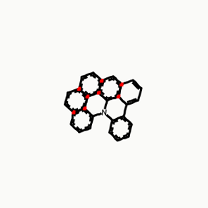 C1=CCCC(c2ccccc2N(c2ccccc2-c2ccccc2)c2ccccc2-c2ccccc2)=C1